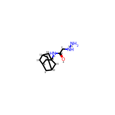 NNCC(=O)NC12CC3CC(CC(C3)C1)C2